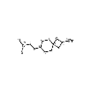 CC(C)C1CC2(CCC(CCN(C)C)CC2)C1